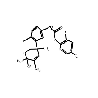 CC1(c2cc(NC(=O)Oc3ncc(Cl)cc3F)ccc2F)COC(C)(C(F)(F)F)C(N)=N1